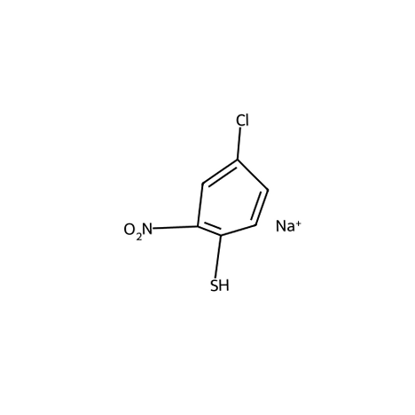 O=[N+]([O-])c1cc(Cl)ccc1S.[Na+]